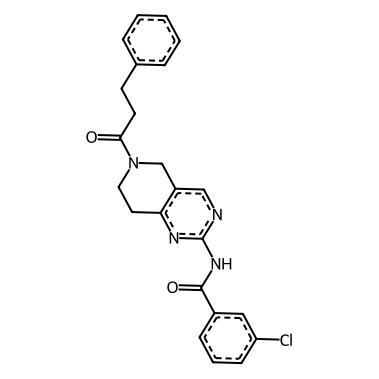 O=C(Nc1ncc2c(n1)CCN(C(=O)CCc1ccccc1)C2)c1cccc(Cl)c1